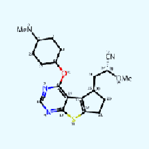 CNC1CCC(Oc2ncnc3sc4c(c23)[C@@H](C[C@H](C#N)OC)CC4)CC1